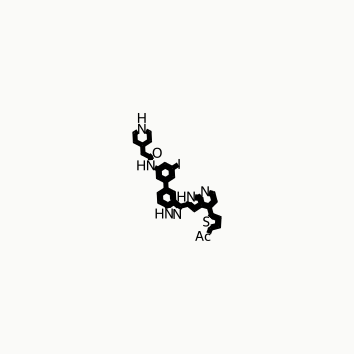 CC(=O)c1ccc(-c2ccnc3[nH]c(-c4n[nH]c5ccc(-c6cc(I)cc(NC(=O)CC7CCNCC7)c6)cc45)cc23)s1